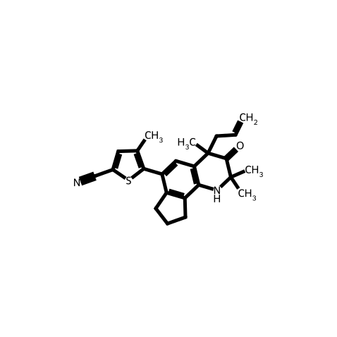 C=CCC1(C)C(=O)C(C)(C)Nc2c1cc(-c1sc(C#N)cc1C)c1c2CCC1